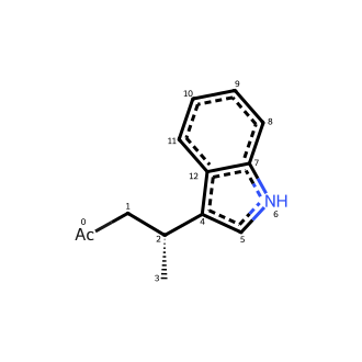 CC(=O)C[C@@H](C)c1c[nH]c2ccccc12